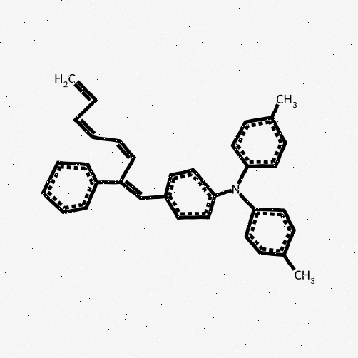 C=C\C=C/C=C\C(=C/c1ccc(N(c2ccc(C)cc2)c2ccc(C)cc2)cc1)c1ccccc1